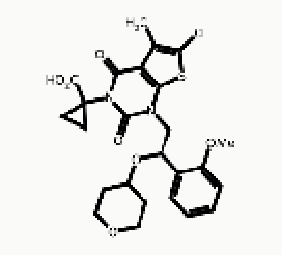 COc1ccccc1[C@H](Cn1c(=O)n(C2(C(=O)O)CC2)c(=O)c2c(C)c(Cl)sc21)OC1CCOCC1